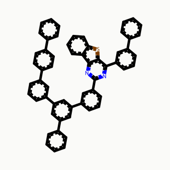 c1ccc(-c2ccc(-c3cccc(-c4cc(-c5ccccc5)cc(-c5cccc(-c6nc(-c7cccc(-c8ccccc8)c7)c7sc8ccccc8c7n6)c5)c4)c3)cc2)cc1